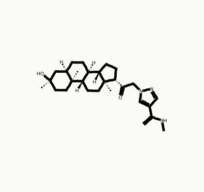 C=C(NC)c1cnn(CC(=O)[C@H]2CC[C@H]3[C@@H]4CC[C@@H]5C[C@](C)(O)CC[C@]5(C)[C@H]4CC[C@]23C)c1